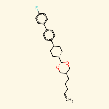 C=CCCC[C@H]1CO[C@H]([C@H]2CC[C@H](c3ccc(-c4ccc(F)cc4)cc3)CC2)OC1